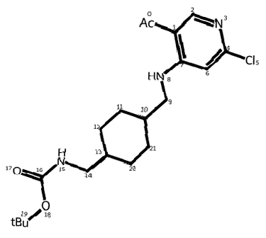 CC(=O)c1cnc(Cl)cc1NCC1CCC(CNC(=O)OC(C)(C)C)CC1